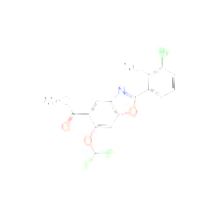 COC(=O)c1cc2nc(-c3cccc(Br)c3C#N)oc2cc1OC(F)F